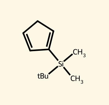 CC(C)(C)[Si](C)(C)C1=CCC=C1